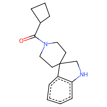 O=C(C1CCC1)N1CCC2(CC1)CNc1ccccc12